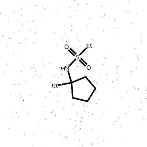 CCC1(NS(=O)(=O)CC)CCCC1